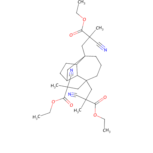 CCOC(=O)C(C)(C#N)CC12CCCC(CC(C)(C#N)C(=O)OCC)(CC(C)(C#N)C(=O)OCC)C3C(CCC31)C2